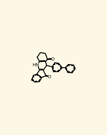 O=C1CCCC2=C1C(c1ccc(-c3ccccc3)cc1)C1=C(N2)c2ccccc2C1=O